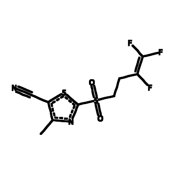 Cc1nc(S(=O)(=O)CCC(F)=C(F)F)sc1C#N